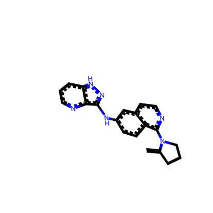 C=C1CCCN1c1nccc2cc(Nc3n[nH]c4cccnc34)ccc12